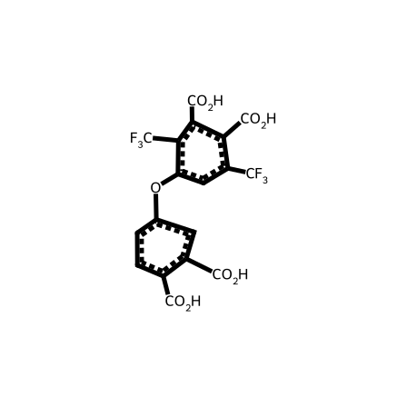 O=C(O)c1ccc(Oc2cc(C(F)(F)F)c(C(=O)O)c(C(=O)O)c2C(F)(F)F)cc1C(=O)O